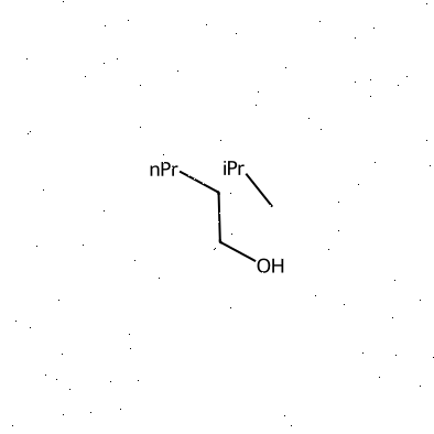 CC(C)C.CCCCCO